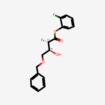 O=C(Sc1ccccc1F)[C@@H](F)[C@@H](O)COCc1ccccc1